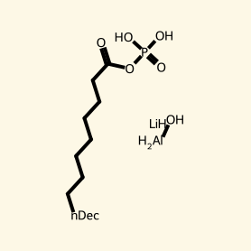 CCCCCCCCCCCCCCCCCC(=O)OP(=O)(O)O.[LiH].[OH][AlH2]